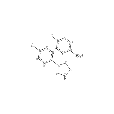 Cc1ccc(S(=O)(=O)O)cc1.Clc1cnc(C2CCNC2)nc1